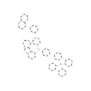 c1ccc(C2(c3ccccc3)c3ccccc3-c3ccc(-c4ccc(N(c5ccc(-c6cccc(-c7cccc8ccccc78)c6)cc5)c5cccc6oc7ccccc7c56)cc4)cc32)cc1